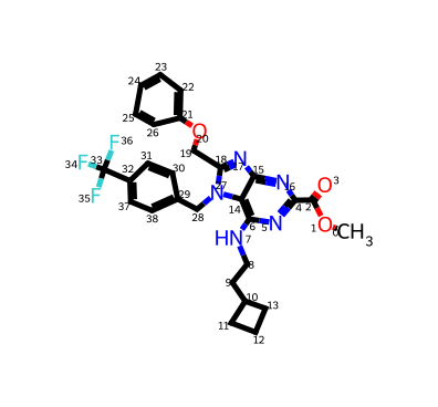 COC(=O)c1nc(NCCC2CCC2)c2c(n1)nc(COc1ccccc1)n2Cc1ccc(C(F)(F)F)cc1